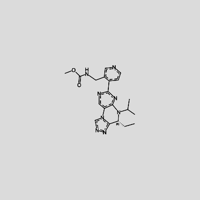 CC[C@@H]1c2nncn2-c2cnc(-c3ccncc3CNC(=O)OC)nc2N1C(C)C